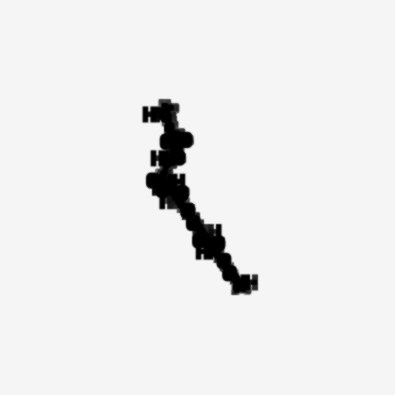 CC(C)NCCOCCOCCNC(=O)CCC(=O)NCCOCCOCCNC(=O)CCC(=O)N[C@@H](CCCCNC(=O)CCN1C(=O)CC(SCCCC(=N)C(C)C)C1=O)C(N)=O